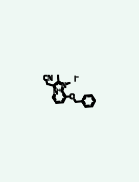 Cc1c(CC#N)[n+]2cccc(OCc3ccccc3)c2n1C.[I-]